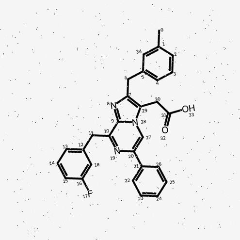 Cc1cccc(Cc2nc3c(Cc4cccc(F)c4)nc(-c4ccccc4)cn3c2CC(=O)O)c1